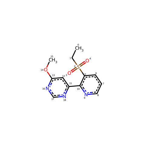 CCS(=O)(=O)c1cccnc1-c1cc(OC)ncn1